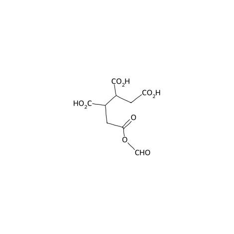 O=COC(=O)CC(C(=O)O)C(CC(=O)O)C(=O)O